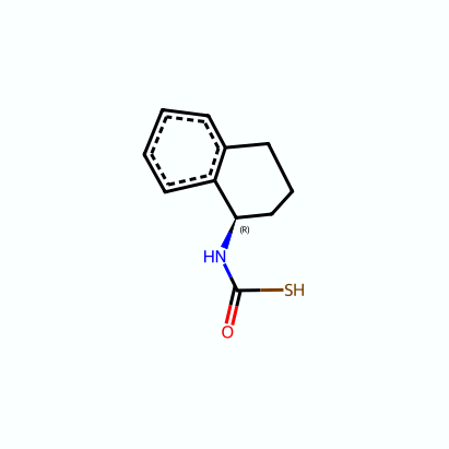 O=C(S)N[C@@H]1CCCc2ccccc21